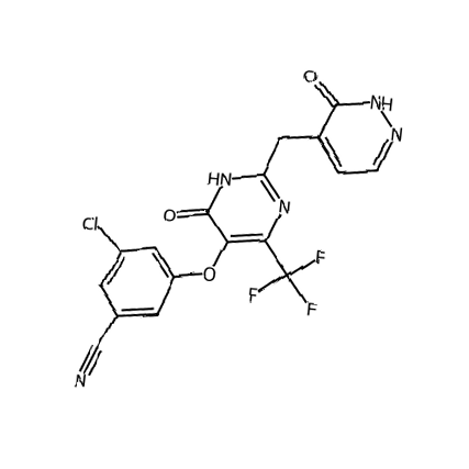 N#Cc1cc(Cl)cc(Oc2c(C(F)(F)F)nc(Cc3ccn[nH]c3=O)[nH]c2=O)c1